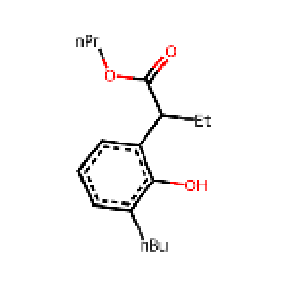 CCCCc1cccc(C(CC)C(=O)OCCC)c1O